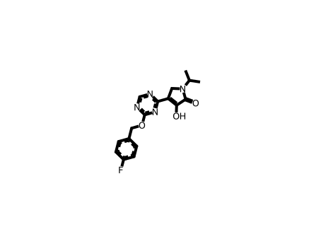 CC(C)N1CC(c2ncnc(OCc3ccc(F)cc3)n2)=C(O)C1=O